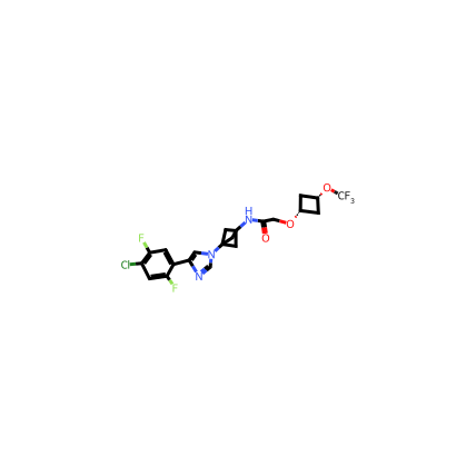 O=C(CO[C@H]1C[C@@H](OC(F)(F)F)C1)NC12CC(n3cnc(-c4cc(F)c(Cl)cc4F)c3)(C1)C2